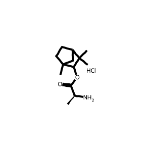 C[C@H](N)C(=O)OC1C2(C)CCC(C2)C1(C)C.Cl